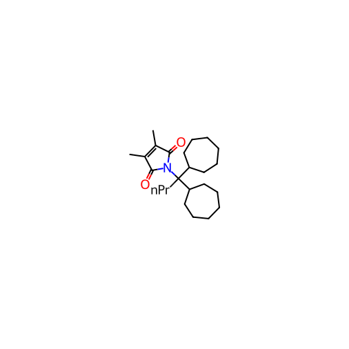 CCCC(C1CCCCCC1)(C1CCCCCC1)N1C(=O)C(C)=C(C)C1=O